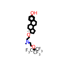 CN(CCO[C@H]1CCC2C3CCc4cc(O)ccc4C3CC[C@@]21C)CCOC(C(F)(F)F)(C(F)(F)F)C(F)(F)F